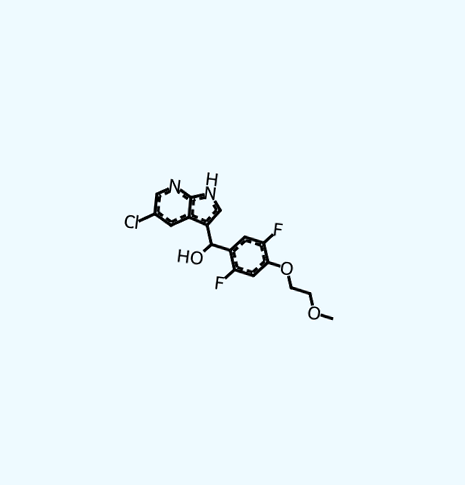 COCCOc1cc(F)c(C(O)c2c[nH]c3ncc(Cl)cc23)cc1F